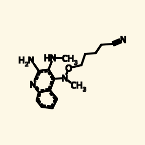 CNc1c(N)nc2ccccc2c1N(C)OCCCCC#N